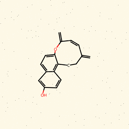 C=C1/C=C\C(=C)Oc2ccc3cc(O)ccc3c2CC1